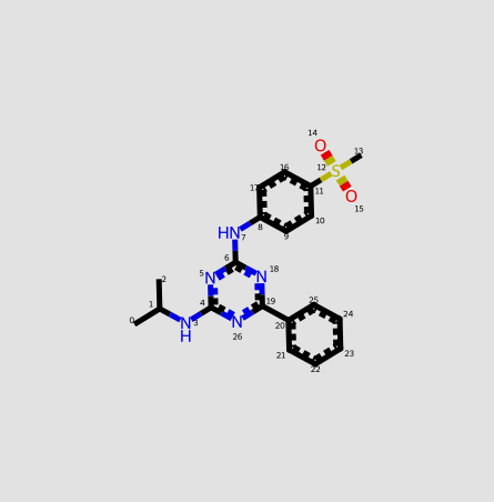 CC(C)Nc1nc(Nc2ccc(S(C)(=O)=O)cc2)nc(-c2ccccc2)n1